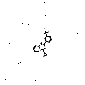 O=C(/N=c1/ccccn1CC1CC1)c1cccc(C(F)(F)F)c1